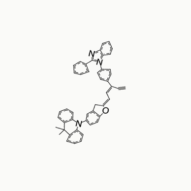 C#C/C(=C\C=C1/Cc2cc(N3c4ccccc4C(C)(C)c4ccccc43)ccc2O1)c1ccc(-n2c(-c3ccccc3)nc3ccccc32)cc1